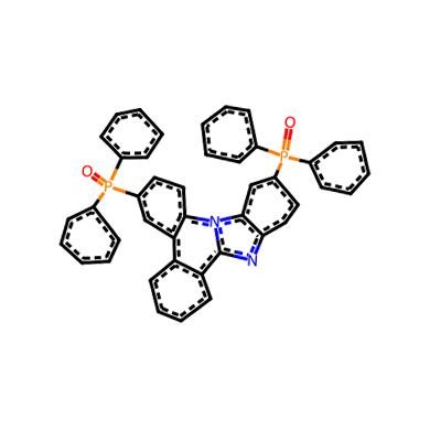 O=P(c1ccccc1)(c1ccccc1)c1ccc2c(c1)c1ccccc1c1nc3ccc(P(=O)(c4ccccc4)c4ccccc4)cc3n21